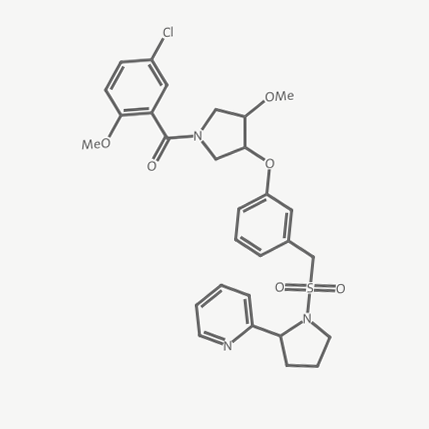 COc1ccc(Cl)cc1C(=O)N1CC(OC)C(Oc2cccc(CS(=O)(=O)N3CCCC3c3ccccn3)c2)C1